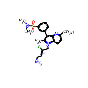 CCOC(=O)c1ccc2c(n1)c(-c1cccc(S(=O)(=O)N(C)C)c1)c(C)n2C/C(F)=C/CN